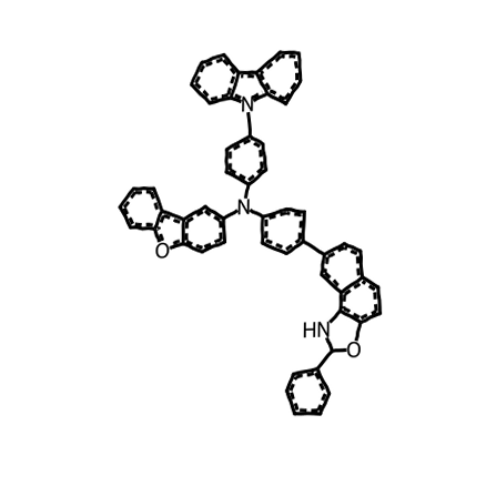 c1ccc(C2Nc3c(ccc4ccc(-c5ccc(N(c6ccc(-n7c8ccccc8c8ccccc87)cc6)c6ccc7oc8ccccc8c7c6)cc5)cc34)O2)cc1